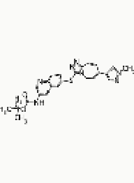 Cn1cc(C2=CCn3c(nnc3Sc3ccc4ncc(NC(=O)OC(C)(C)C)cc4c3)C=C2)cn1